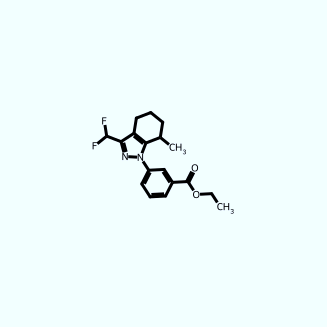 CCOC(=O)c1cccc(-n2nc(C(F)F)c3c2C(C)CCC3)c1